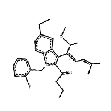 CCCC(=O)c1c(/C(=C/C=C(C)C)C(C)OC)c2cc(CC)ccc2n1Cc1ccccc1F